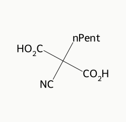 CCCCCC(C#N)(C(=O)O)C(=O)O